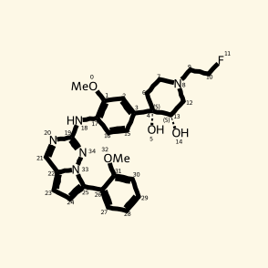 COc1cc([C@@]2(O)CCN(CCF)C[C@@H]2O)ccc1Nc1ncc2ccc(-c3ccccc3OC)n2n1